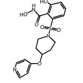 O=C(NO)c1c(O)cccc1S(=O)(=O)N1CCC(Oc2ccncc2)CC1